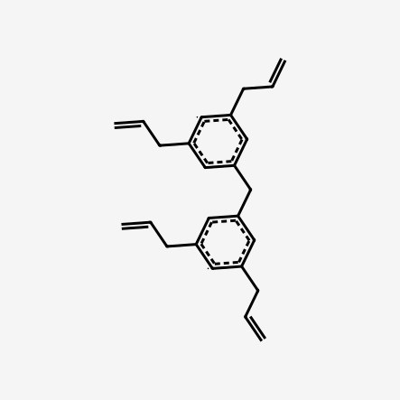 C=CCc1[c]c(CC=C)cc(Cc2cc(CC=C)[c]c(CC=C)c2)c1